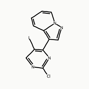 Clc1ncc(I)c(-c2cnn3ccccc23)n1